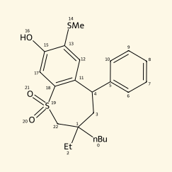 CCCCC1(CC)CC(c2ccccc2)c2cc(SC)c(O)cc2S(=O)(=O)C1